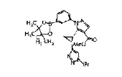 COC(=O)c1cnn(-c2cccc(B3OC(C)(C)C(C)(C)O3)c2)c1[C@H]1C[C@@H]1c1cn(C(C)C)nn1